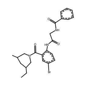 CCC1CC(C)CN(C(=O)c2cc(Br)ccc2NC(=O)CNC(=O)c2ccccc2)C1